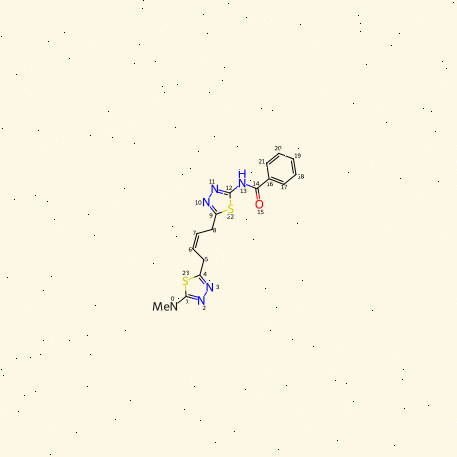 CNc1nnc(C/C=C\Cc2nnc(NC(=O)c3ccccc3)s2)s1